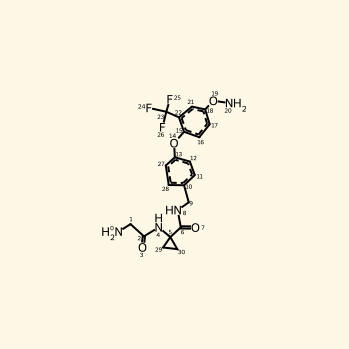 NCC(=O)NC1(C(=O)NCc2ccc(Oc3ccc(ON)cc3C(F)(F)F)cc2)CC1